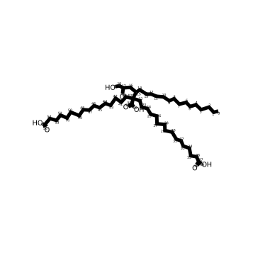 CCCCCCCCCCCCCCCC(CC(O)CO)C(CCCCCCCCCCCCCCCC(=O)O)(CCCCCCCCCCCCCCCC(=O)O)C(=O)O